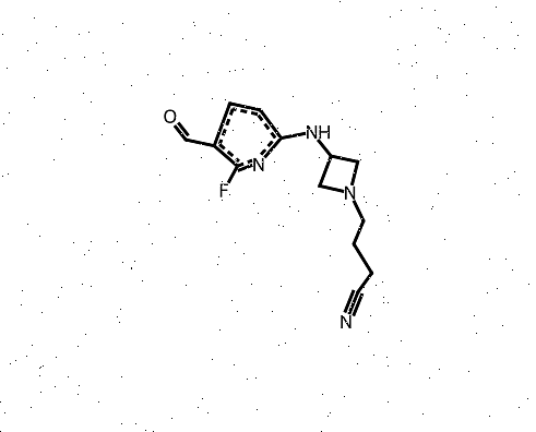 N#CCCCN1CC(Nc2ccc(C=O)c(F)n2)C1